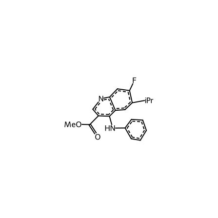 COC(=O)c1cnc2cc(F)c(C(C)C)cc2c1Nc1ccccc1